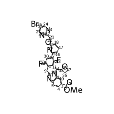 COC(=O)c1ccc2nc(Cc3cc(F)c(-c4cccc(OCc5ncc(Br)cn5)n4)cc3F)n(CC3CCO3)c2c1